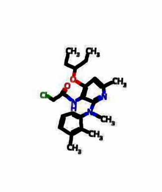 CCC(CC)Oc1cc(C)nc(N(C)c2cccc(C)c2C)c1NC(=O)CCl